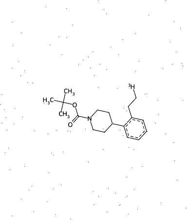 [3H]CCc1ccccc1C1CCN(C(=O)OC(C)(C)C)CC1